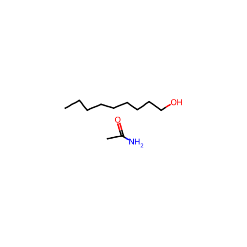 CC(N)=O.CCCCCCCCCO